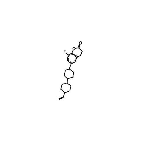 C=CC1CCC(C2CCC(c3cc(F)c4c(c3)CCC(=O)O4)CC2)CC1